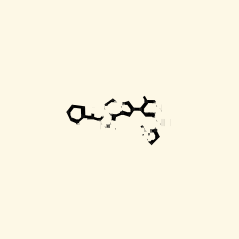 Cc1cnc(Nc2ccnn2C)cc1-c1cc2n(c1)CCn1c-2nnc1C(F)(F)c1ccccc1F